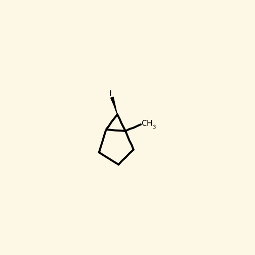 CC12CCCC1[C@H]2I